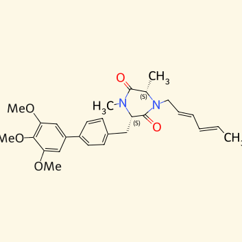 CC=CC=CCN1C(=O)[C@H](Cc2ccc(-c3cc(OC)c(OC)c(OC)c3)cc2)N(C)C(=O)[C@@H]1C